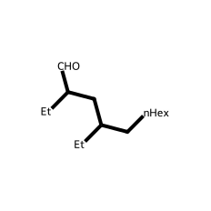 CCCCCCCC(CC)CC(C=O)CC